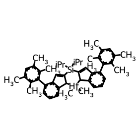 Cc1cc(C)c(C)c(-c2cccc3c2C=C2[CH]3[Hf]([CH3])([CH3])[CH]3C(=Cc4c(-c5c(C)c(C)cc(C)c5C)cccc43)[Si]2(C(C)C)C(C)C)c1C